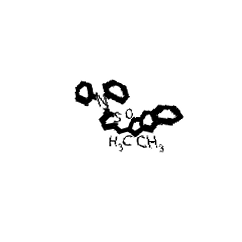 CC1(C)c2cc3ccccc3cc2C(=O)C1Cc1ccc(N(c2ccccc2)c2ccccc2)s1